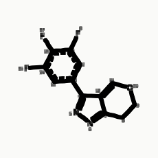 Fc1cc(C2=NN=C3CCOC=C32)cc(F)c1F